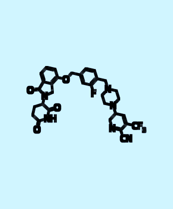 N#CC1=NCC(N2CCN(Cc3ccc(COc4cccc5c4CN(C4CCC(=O)NC4=O)C5=O)cc3F)CC2)C=C1C(F)(F)F